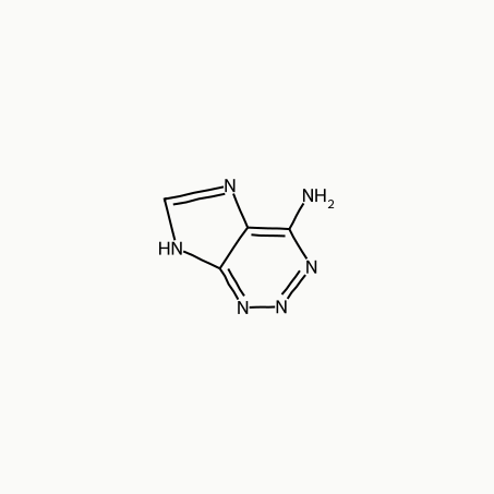 Nc1nnnc2[nH]cnc12